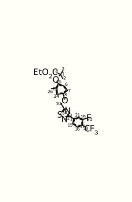 CCOC(=O)C(C)(C)Oc1ccc(OCc2nc(-c3ccc(C(F)(F)F)c(F)c3)ns2)cc1C